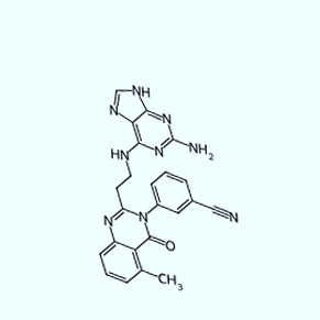 Cc1cccc2nc(CCNc3nc(N)nc4[nH]cnc34)n(-c3cccc(C#N)c3)c(=O)c12